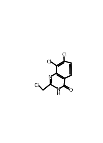 O=c1[nH]c(CCl)nc2c(Cl)c(Cl)ccc12